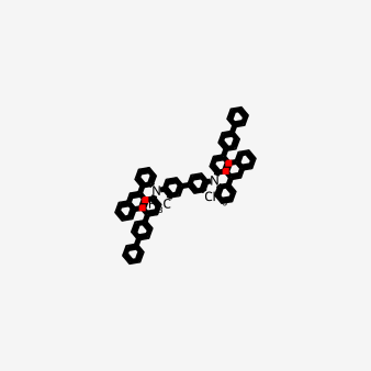 Cc1cc(-c2ccc(N(c3ccc(-c4ccc(-c5ccccc5)cc4)cc3)c3ccccc3-c3ccc4ccccc4c3)c(C)c2)ccc1N(c1ccc(-c2ccc(-c3ccccc3)cc2)cc1)c1ccccc1-c1ccc2ccccc2c1